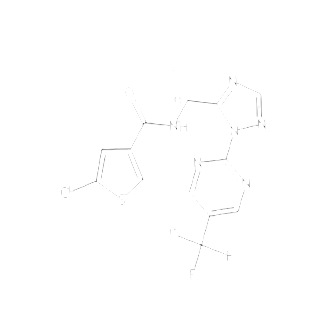 C[C@@H](NC(=O)c1csc(Cl)c1)c1ncnn1-c1ncc(C(F)(F)F)cn1